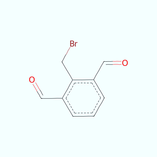 O=Cc1cccc(C=O)c1CBr